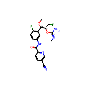 C/N=C(/N)O[C@H](CF)[C@H](OC)c1cc(NC(=O)c2ccc(C#N)cn2)ccc1F